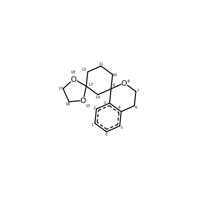 c1ccc2c(c1)CCOC21CCCC2(C1)OCCO2